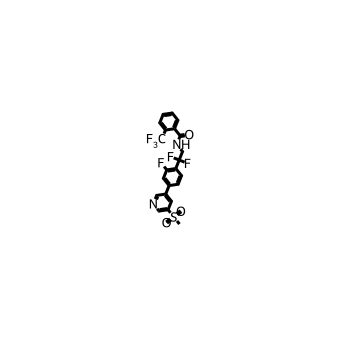 CS(=O)(=O)c1cncc(-c2ccc(C(F)(F)CNC(=O)c3ccccc3C(F)(F)F)c(F)c2)c1